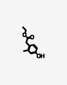 CCOC(=O)Cc1ccc(O)cc1C